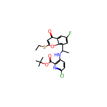 CCSc1cc(=O)c2cc(F)cc(C(C)Nc3ccc(Cl)nc3C(=O)OC(C)(C)C)c2o1